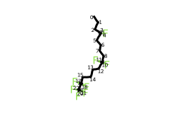 CCC[C@@H](F)CCCCC(F)(F)CCCCC(F)(F)C(F)(F)F